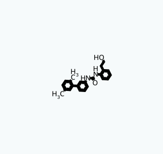 Cc1ccc(C)c(-c2cccc(NC(=O)Nc3ccccc3CCO)c2)c1